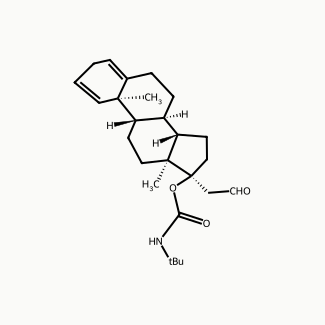 CC(C)(C)NC(=O)O[C@]1(CC=O)CC[C@H]2[C@@H]3CCC4=CCC=C[C@]4(C)[C@H]3CC[C@@]21C